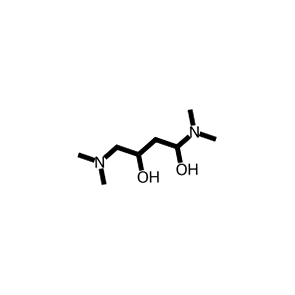 CN(C)CC(O)CC(O)N(C)C